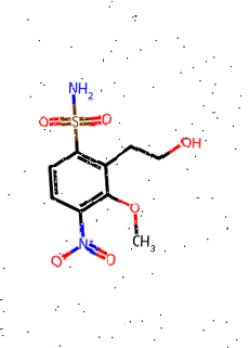 COc1c([N+](=O)[O-])ccc(S(N)(=O)=O)c1CCO